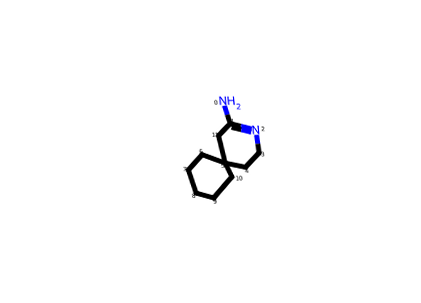 NC1=NCCC2(CCCCC2)C1